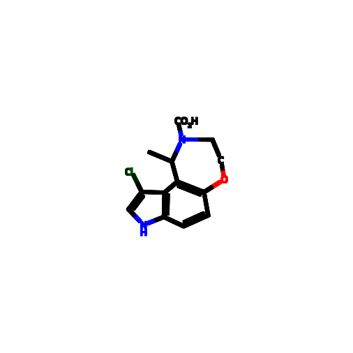 CC1c2c(ccc3[nH]cc(Cl)c23)OCCN1C(=O)O